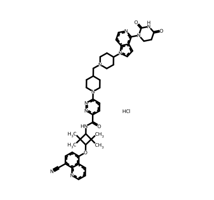 CC1(C)C(NC(=O)c2ccc(N3CCC(CN4CCC(n5ccc6c(N7CCC(=O)NC7=O)nccc65)CC4)CC3)nn2)C(C)(C)C1Oc1ccc(C#N)c2ncccc12.Cl